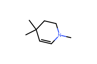 CN1C=CC(C)(C)CC1